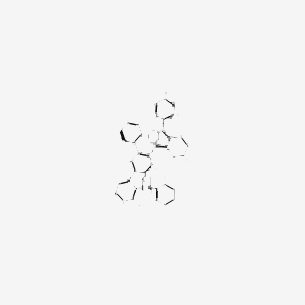 c1cccc(-c2cc3c4ccccc4n(-c4ccccc4)c3cc2-c2oc(-c3ccccc3)c3c2CCC=C3)c#1